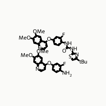 COc1cc2nccc(Oc3ccc(N)c(F)c3)c2cc1OC.COc1cc2nccc(Oc3ccc(NC(=O)Nc4nc(C(C)(C)C)cs4)c(F)c3)c2cc1OC